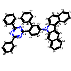 c1ccc(-c2nc(-c3ccccc3)nc(-c3ccc(-n4c5cc6ccccc6cc5c5c6ccccc6ccc54)cc3-c3ccccc3)n2)cc1